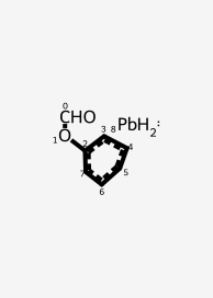 O=COc1ccccc1.[PbH2]